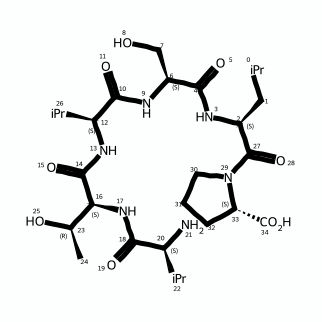 CC(C)C[C@H](NC(=O)[C@H](CO)NC(=O)[C@@H](NC(=O)[C@@H](NC(=O)[C@@H](N)C(C)C)[C@@H](C)O)C(C)C)C(=O)N1CCC[C@H]1C(=O)O